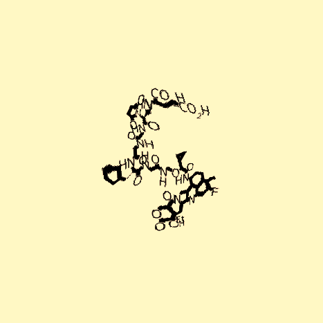 CC[C@@]1(O)C(=O)OCc2c1cc1n(c2=O)Cc2c-1nc1cc(F)c(C)c3c1c2[C@@H](NC(=O)[C@@H](OCNC(=O)CNC(=O)[C@H](Cc1ccccc1)NC(=O)CNC(=O)CNC(=O)[C@H](CNC(CCC(=O)O)C(=O)O)N1C(=O)C=CC1=O)C1CC1)CC3